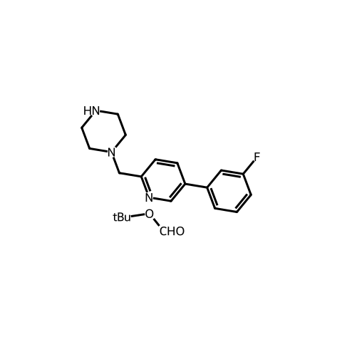 CC(C)(C)OC=O.Fc1cccc(-c2ccc(CN3CCNCC3)nc2)c1